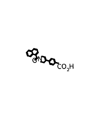 O=C(O)Cc1ccc(C2=CCN(C(=O)c3cccc4ccccc34)CC2)cc1